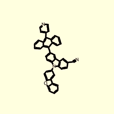 N#Cc1ccc2c(c1)c1cc(-c3c4ccccc4c(-c4ccncc4)c4ccccc34)ccc1n2-c1ccc2oc3ccccc3c2c1